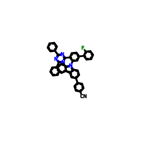 N#Cc1ccc(-c2ccc3c(c2)c2ccccc2n3-c2cc(-c3ccccc3F)ccc2-c2nc(-c3ccccc3)nc(-c3ccccc3)n2)cc1